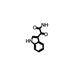 [NH]C(=O)C(=O)c1c[nH]c2ccccc12